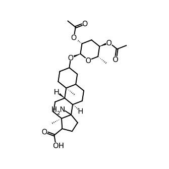 CC(=O)O[C@@H]1C[C@@H](OC(C)=O)[C@H](C)O[C@H]1OC1CC[C@@]2(C)C(CC[C@@H]3[C@@H]2CC[C@]2(C)C(C(=O)O)CCC32N)C1